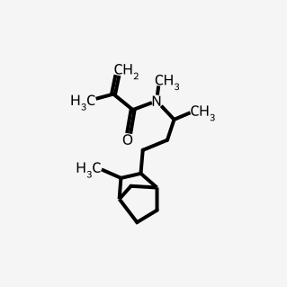 C=C(C)C(=O)N(C)C(C)CCC1C2CCC(C2)C1C